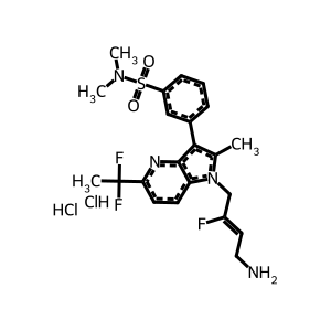 Cc1c(-c2cccc(S(=O)(=O)N(C)C)c2)c2nc(C(C)(F)F)ccc2n1CC(F)=CCN.Cl.Cl